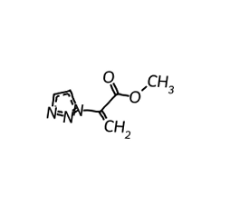 C=C(C(=O)OC)n1ccnn1